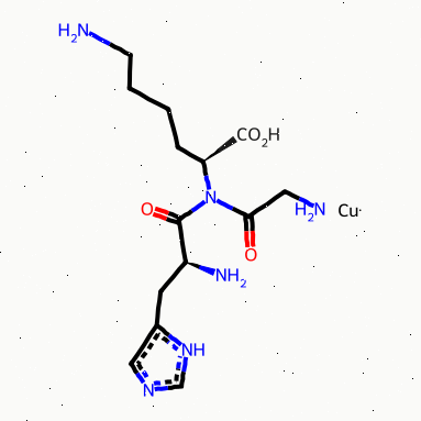 NCCCC[C@@H](C(=O)O)N(C(=O)CN)C(=O)[C@@H](N)Cc1cnc[nH]1.[Cu]